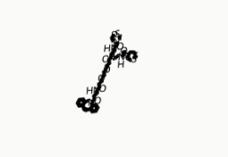 O=C(CCOCCOCCC(=O)N(CCNC(=O)N1CCSSCC1)CCNC(=O)N1CCSSCC1)NCCC(=O)N1Cc2ccccc2C#Cc2ccccc21